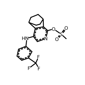 CS(=O)(=O)Oc1ncc(Nc2cccc(C(F)(F)F)c2)c2c1C1CCC2CC1